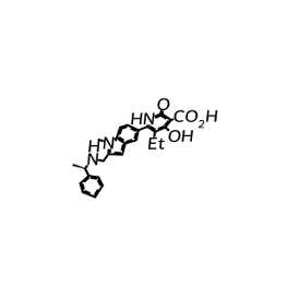 CCc1c(-c2ccc3c(c2)cc(CN[C@H](C)c2ccccc2)n3C)[nH]c(=O)c(C(=O)O)c1O